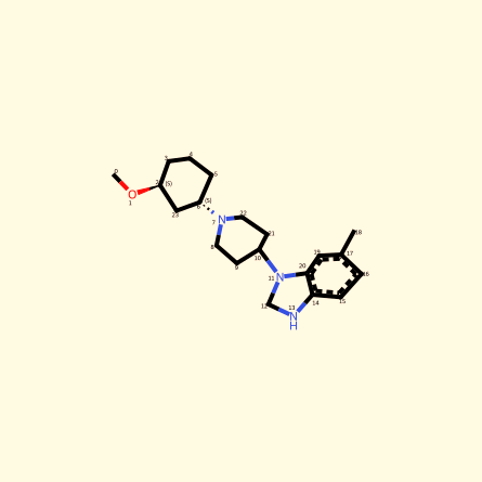 CO[C@H]1CCC[C@H](N2CCC(N3CNc4ccc(C)cc43)CC2)C1